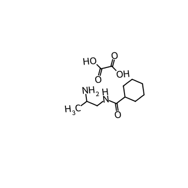 CC(N)CNC(=O)C1CCCCC1.O=C(O)C(=O)O